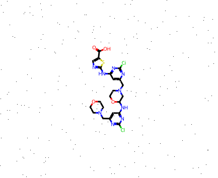 O=C(O)c1cnc(Nc2cc(CN3CCOC(Nc4cc(CN5CCOCC5)nc(Cl)n4)C3)nc(Cl)n2)s1